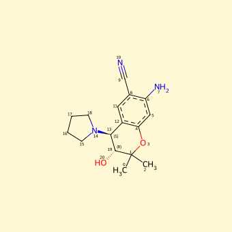 CC1(C)Oc2cc(N)c(C#N)cc2[C@H](N2CCCC2)[C@H]1O